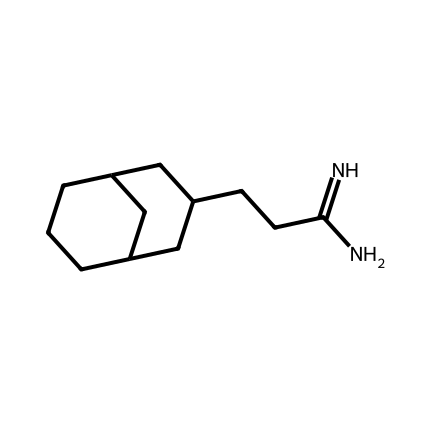 N=C(N)CCC1CC2CCCC(C2)C1